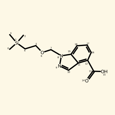 C[Si](C)(C)CCOCn1ncc2c(C(=O)O)cccc21